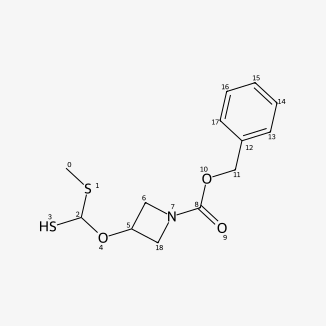 CSC(S)OC1CN(C(=O)OCc2ccccc2)C1